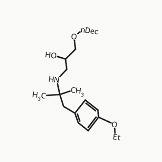 CCCCCCCCCCOCC(O)CNC(C)(C)Cc1ccc(OCC)cc1